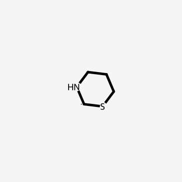 [CH]1NCCCS1